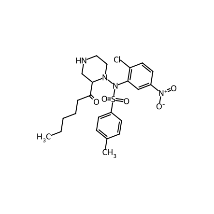 CCCCCC(=O)C1CNCCN1N(c1cc([N+](=O)[O-])ccc1Cl)S(=O)(=O)c1ccc(C)cc1